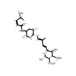 CC[C@@H](CC(=O)O)O[C@H](/C=C/C(C)=C/C[C@@H]1O[C@H](C)C(NC(=O)/C=C\[C@H](C)OC(C)=O)C[C@@H]1C)[C@@H](O)COC